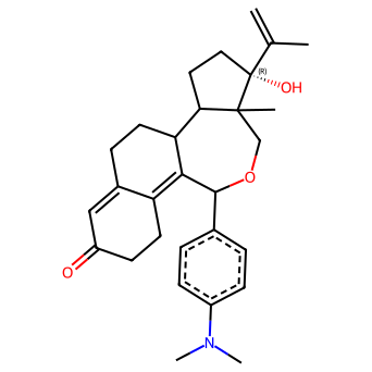 C=C(C)[C@]1(O)CCC2C3CCC4=CC(=O)CCC4=C3C(c3ccc(N(C)C)cc3)OCC21C